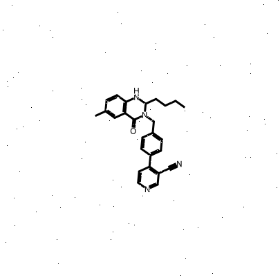 CCCCC1Nc2ccc(C)cc2C(=O)N1Cc1ccc(-c2ccncc2C#N)cc1